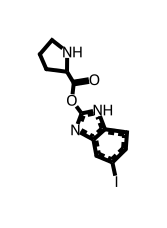 O=C(Oc1nc2cc(I)ccc2[nH]1)C1CCCN1